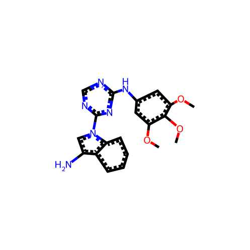 COc1cc(Nc2ncnc(-n3cc(N)c4ccccc43)n2)cc(OC)c1OC